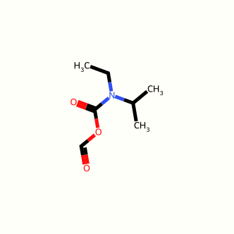 CCN(C(=O)OC=O)C(C)C